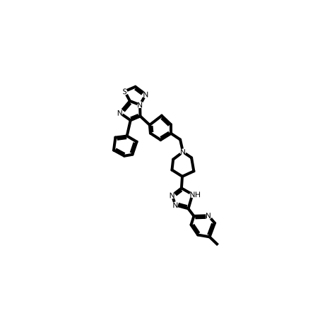 Cc1ccc(-c2nnc(C3CCN(Cc4ccc(-c5c(-c6ccccc6)nc6scnn56)cc4)CC3)[nH]2)nc1